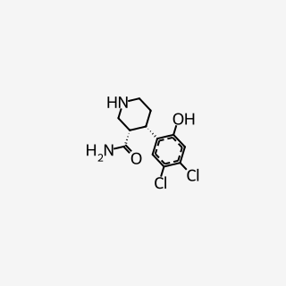 NC(=O)[C@@H]1CNCC[C@@H]1c1cc(Cl)c(Cl)cc1O